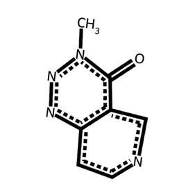 Cn1nnc2ccncc2c1=O